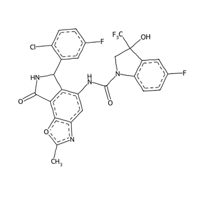 Cc1nc2cc(NC(=O)N3CC(O)(C(F)(F)F)c4cc(F)ccc43)c3c(c2o1)C(=O)NC3c1cc(F)ccc1Cl